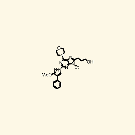 CCn1c(CCCO)nc2c(N3CCOCC3)nc(-n3cc(-c4ccccc4)c(OC)n3)nc21